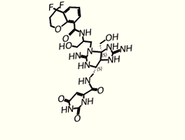 N=C1NC2[C@H](CNC(=O)c3cc(=O)[nH]c(=O)[nH]3)NC(=N)N(CC(CO)NC(=O)c3cccc4c3OCCC4(F)F)[C@@]2(CO)N1